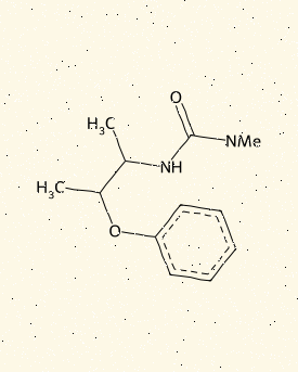 CNC(=O)NC(C)C(C)Oc1ccccc1